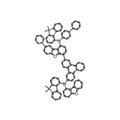 CC1(C)c2ccccc2-c2c(N(c3ccc4c5ccccc5c5cc(-c6ccc(N(c7ccc(-c8ccccc8)cc7)c7cccc8c7-c7ccccc7C8(C)C)c7c6oc6ccc(-c8ccccc8)cc67)ccc5c4c3)c3cccc4oc5ccccc5c34)cccc21